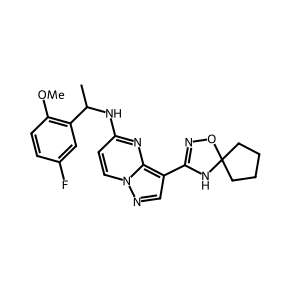 COc1ccc(F)cc1C(C)Nc1ccn2ncc(C3=NOC4(CCCC4)N3)c2n1